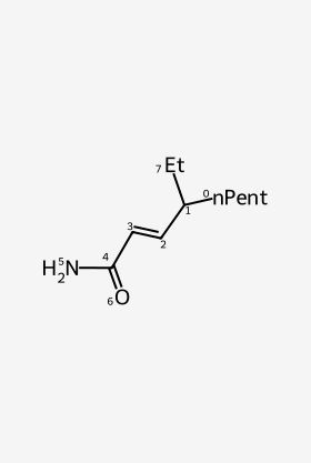 CCCCCC(/C=C/C(N)=O)CC